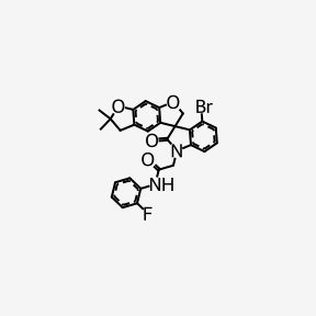 CC1(C)Cc2cc3c(cc2O1)OCC31C(=O)N(CC(=O)Nc2ccccc2F)c2cccc(Br)c21